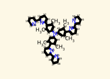 Cc1cc(N(c2cc(C)c(-c3cccc(-c4ccccn4)n3)c(C)c2)c2cc(C)c(-c3cccc(-c4ccccn4)n3)c(C)c2)cc(C)c1-c1cccc(-c2ccccn2)n1